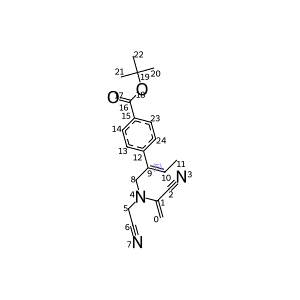 C=C(C#N)N(CC#N)C/C(=C/C)c1ccc(C(=O)OC(C)(C)C)cc1